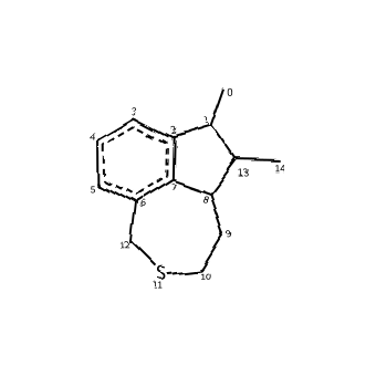 CC1c2cccc3c2C(CCSC3)C1C